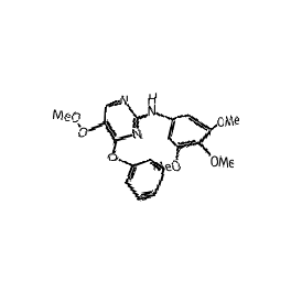 COOc1cnc(Nc2cc(OC)c(OC)c(OC)c2)nc1Oc1ccccc1